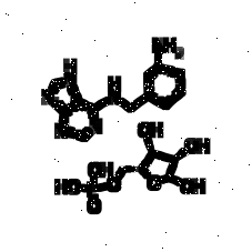 Nc1cccc(CNc2ncnc3nc[nH]c23)c1.O=P(O)(O)OC[C@H]1OC(O)[C@H](O)[C@@H]1O